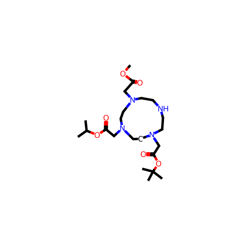 COC(=O)CN1CCNCCN(CC(=O)OC(C)(C)C)CCN(CC(=O)OC(C)C)CC1